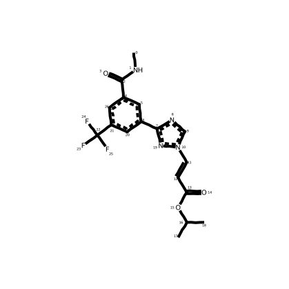 CNC(=O)c1cc(-c2ncn(C=CC(=O)OC(C)C)n2)cc(C(F)(F)F)c1